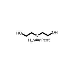 CCCCCN.OCCNCCO